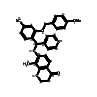 COc1ccc(COc2cc(C#N)ccc2C(Oc2ccc3c(c2C)OCCC3=O)c2ccncc2)cc1